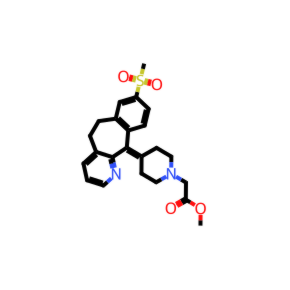 COC(=O)CN1CCC(=C2c3ccc(S(C)(=O)=O)cc3CCc3cccnc32)CC1